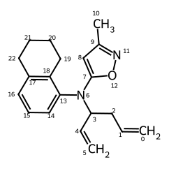 C=CCC(C=C)N(c1cc(C)no1)c1cccc2c1CCCC2